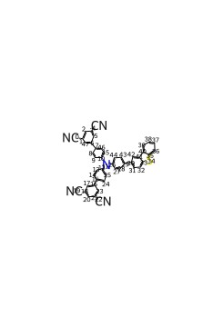 N#Cc1cc(C#N)cc(-c2ccc(N(c3ccc(-c4cc(C#N)cc(C#N)c4)cc3)c3ccc(-c4ccc5sc6ccccc6c5c4)cc3)cc2)c1